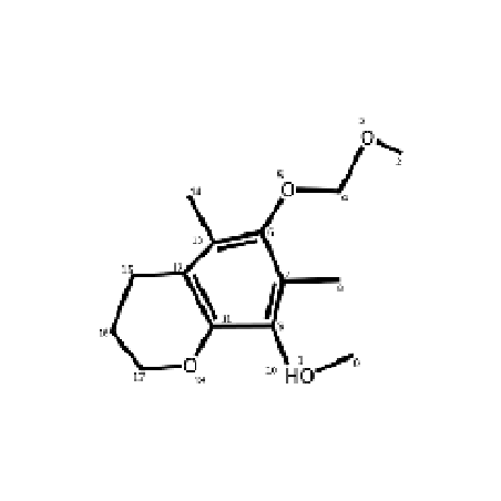 CO.COCOc1c(C)c(C)c2c(c1C)CCCO2